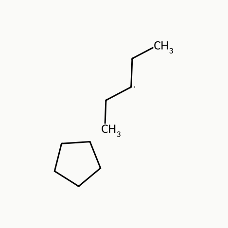 C1CCCC1.CC[CH]CC